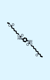 C=CCC(=O)CCCCCCOC(=O)Nc1ccc(NC(=O)OCCCCCCC(=O)OC=C)cc1